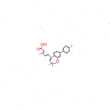 CC(C=CC1=CC(C)(C)COc2cc(-c3ccc(F)cc3)ccc21)=CC(=O)O